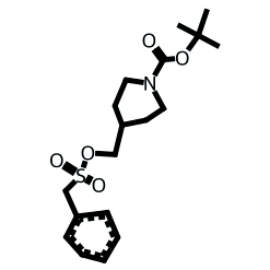 CC(C)(C)OC(=O)N1CCC(COS(=O)(=O)Cc2ccccc2)CC1